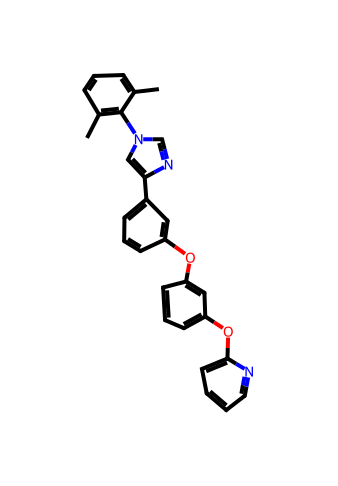 Cc1cccc(C)c1-n1cnc(-c2cccc(Oc3cccc(Oc4ccccn4)c3)c2)c1